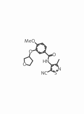 COc1ccc(C(=O)Nc2c(C)nsc2C#N)cc1OC1CCOC1